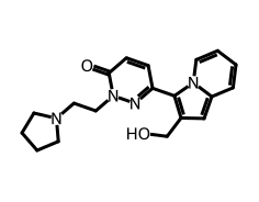 O=c1ccc(-c2c(CO)cc3ccccn23)nn1CCN1CCCC1